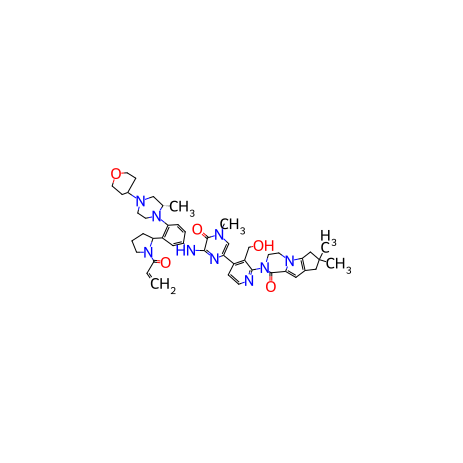 C=CC(=O)N1CCCC1c1cc(Nc2nc(-c3ccnc(N4CCn5c(cc6c5CC(C)(C)C6)C4=O)c3CO)cn(C)c2=O)ccc1N1CCN(C2CCOCC2)C[C@@H]1C